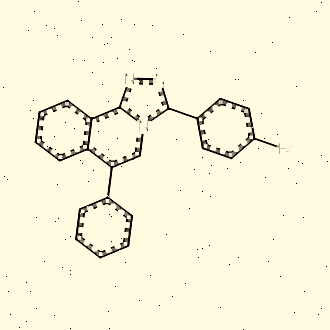 Brc1ccc(-c2nnc3c4ccccc4c(-c4ccccc4)cn23)cc1